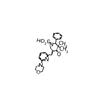 CC1(C)C(=O)/C(=C/c2cccc(N3CCOCC3)n2)CN(C(=O)O)C1c1ccccc1